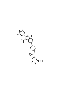 CCC(C)CN(CCO)C(=O)CN1CCC(c2ccc3[nH]c(-c4cc(C)nc(C)c4)c(C(C)C)c3c2)CC1